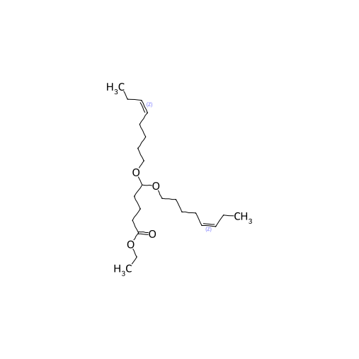 CC/C=C\CCCCOC(CCCC(=O)OCC)OCCCC/C=C\CC